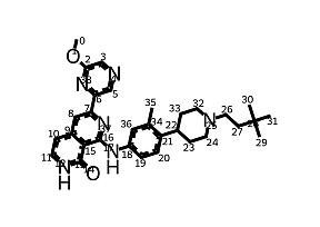 COc1cncc(-c2cc3cc[nH]c(=O)c3c(Nc3ccc(C4CCN(CCC(C)(C)C)CC4)c(C)c3)n2)n1